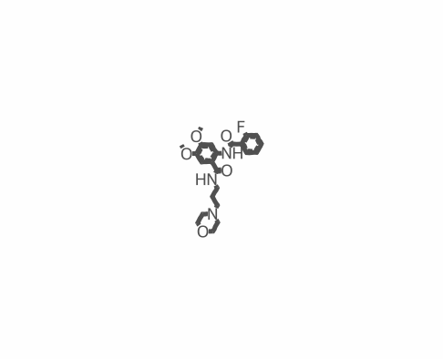 COc1cc(NC(=O)c2ccccc2F)c(C(=O)NCCCN2CCOCC2)cc1OC